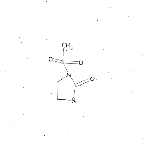 CS(=O)(=O)N1CC[N]C1=O